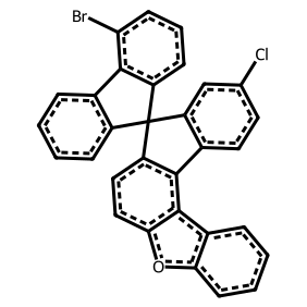 Clc1ccc2c(c1)C1(c3ccccc3-c3c(Br)cccc31)c1ccc3oc4ccccc4c3c1-2